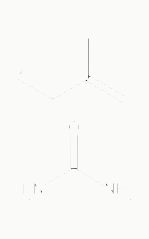 C=C(C)CC.NC(N)=O